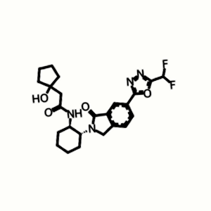 O=C(CC1(O)CCCC1)N[C@@H]1CCCC[C@H]1N1Cc2ccc(-c3nnc(C(F)F)o3)cc2C1=O